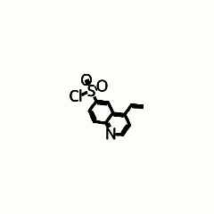 C=Cc1ccnc2ccc(S(=O)(=O)Cl)cc12